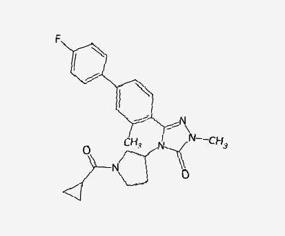 Cc1cc(-c2ccc(F)cc2)ccc1-c1nn(C)c(=O)n1C1CCN(C(=O)C2CC2)C1